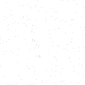 CCN1CCN(c2ccc(O)c(-c3ccc(Br)cc3)n2)CC1